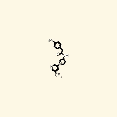 CC(C)c1ccc(CC(=O)N[C@H]2CCN(c3cncc(C(F)(F)F)c3)C2)cc1